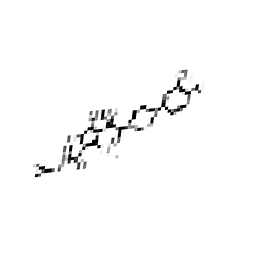 Cc1[nH]c(C(=O)NCC2CC2)c(C)c1C(=O)C(=O)N1CCN(c2ccc(Cl)c(C(F)(F)F)c2)CC1